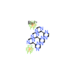 F[P-](F)(F)(F)(F)F.F[P-](F)(F)(F)(F)F.[Ru+2].c1cnc(-c2cnccn2)cn1.c1cnc(-c2cnccn2)cn1.c1cnc(-c2cnccn2)cn1